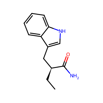 CC[C@@H](Cc1c[nH]c2ccccc12)C(N)=O